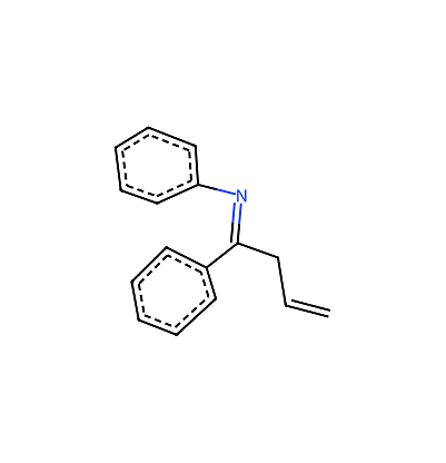 C=CCC(=Nc1ccccc1)c1ccccc1